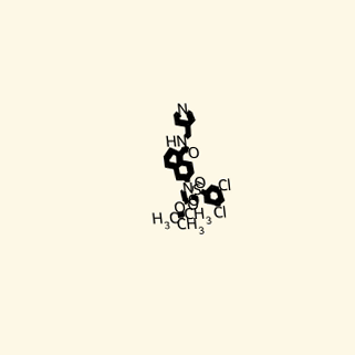 CC(C)(C)OC(=O)CN(c1ccc2c(C(=O)NCc3ccncc3)cccc2c1)S(=O)(=O)c1cc(Cl)cc(Cl)c1